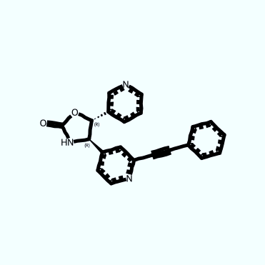 O=C1N[C@H](c2ccnc(C#Cc3ccccc3)c2)[C@@H](c2cccnc2)O1